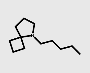 CCCCCN1CCCC12CCC2